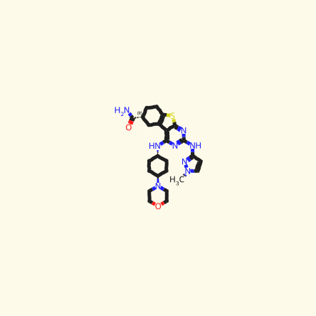 Cn1ccc(Nc2nc(N[C@H]3CC[C@H](N4CCOCC4)CC3)c3c4c(sc3n2)CC[C@@H](C(N)=O)C4)n1